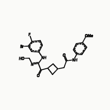 COc1ccc(NC(=O)CC2CC(C(=O)/C(=N/CO)Nc3ccc(F)c(Br)c3)C2)cc1